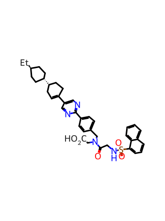 CC[C@H]1CC[C@H](C2CC=C(c3cnc(-c4ccc(CN(CC(=O)O)C(=O)CNS(=O)(=O)c5cccc6ccccc56)cc4)nc3)CC2)CC1